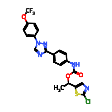 CC(OC(=O)Nc1ccc(-c2ncn(-c3ccc(OC(F)(F)F)cc3)n2)cc1)c1cnc(Cl)s1